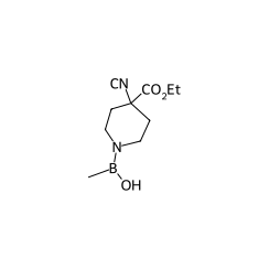 [C-]#[N+]C1(C(=O)OCC)CCN(B(C)O)CC1